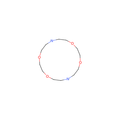 C1COCCOCC[N]CCOCCOCC[N]1